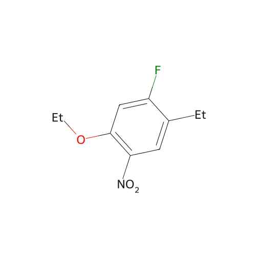 CCOc1cc(F)c(CC)cc1[N+](=O)[O-]